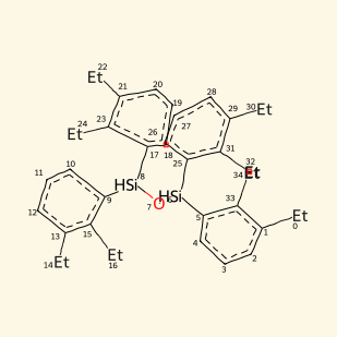 CCc1cccc([SiH](O[SiH](c2cccc(CC)c2CC)c2cccc(CC)c2CC)c2cccc(CC)c2CC)c1CC